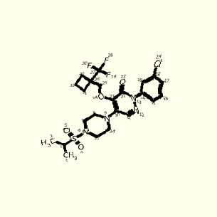 CC(C)S(=O)(=O)N1CCN(c2cnn(-c3cccc(Cl)c3)c(=O)c2OCC2(C(F)(F)F)CCC2)CC1